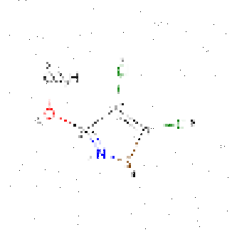 O=C(O)Oc1nsc(Cl)c1Cl